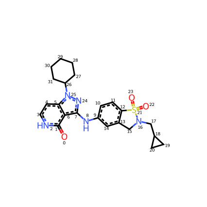 O=c1[nH]ccc2c1c(Nc1ccc3c(c1)CN(CC1CC1)S3(=O)=O)nn2C1CCCCC1